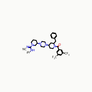 CC(C)N/C(=N\C#N)N1CCCC(N2CCN(C3CCN(C(=O)c4cc(C(F)(F)F)cc(C(F)(F)F)c4)C(Cc4ccccc4)C3)CC2)C1